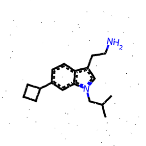 CC(C)Cn1cc(CCN)c2ccc(C3CCC3)cc21